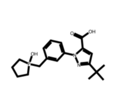 CC(C)(C)c1cc(C(=O)O)n(-c2cccc(C[P]3(O)CCCC3)c2)n1